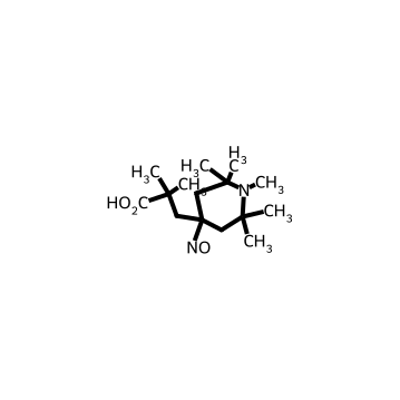 CN1C(C)(C)CC(CC(C)(C)C(=O)O)(N=O)CC1(C)C